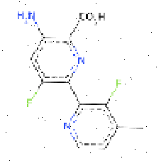 Cc1ccnc(-c2nc(C(=O)O)c(N)cc2F)c1F